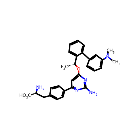 CN(C)c1cccc(-c2ccccc2[C@H](Oc2cc(-c3ccc(C[C@H](N)C(=O)O)cc3)nc(N)n2)C(F)(F)F)c1